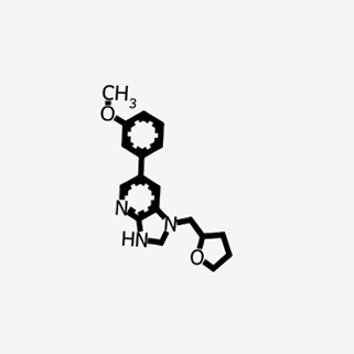 COc1cccc(-c2cnc3c(c2)N(CC2CCCO2)CN3)c1